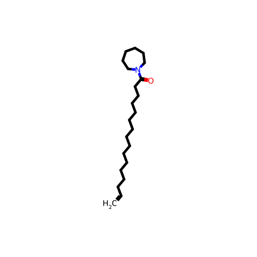 C=CCCCCCCCCCCCCCC(=O)N1CCCCCC1